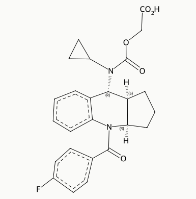 O=C(O)COC(=O)N(C1CC1)[C@H]1c2ccccc2N(C(=O)c2ccc(F)cc2)[C@@H]2CCC[C@@H]21